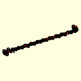 O=C(CCN1C(=O)C=CC1=O)NCCOCCOCCOCCOCCOCCOCCOCCOCCOCCOCCOCCOCCOCCOCCOCCOCCOCCOCCOCCOCCC(=O)ON1C(=O)CCC1=O